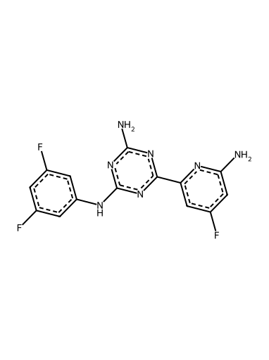 Nc1cc(F)cc(-c2nc(N)nc(Nc3cc(F)cc(F)c3)n2)n1